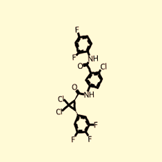 O=C(Nc1ccc(F)cc1F)c1cc(NC(=O)[C@H]2[C@H](c3cc(F)c(F)c(F)c3)C2(Cl)Cl)ccc1Cl